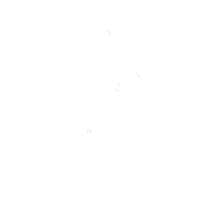 COc1cc(NC(=O)N(C)C2CCN(C)CC2)cc(-c2cccc3c2OCCO3)n1